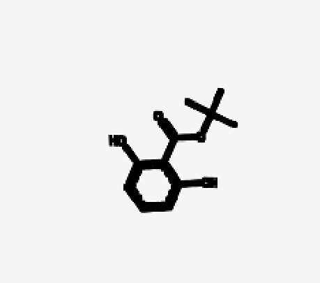 CC(C)(C)OC(=O)c1c(O)cccc1O